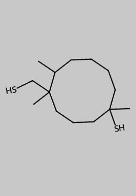 CC1CCCCC(C)(S)CCCC1(C)CS